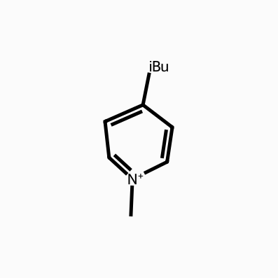 CCC(C)c1cc[n+](C)cc1